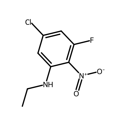 CCNc1cc(Cl)cc(F)c1[N+](=O)[O-]